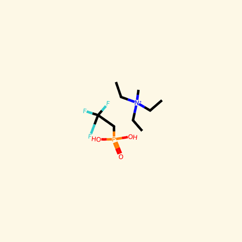 CC[N+](C)(CC)CC.O=P(O)(O)CC(F)(F)F